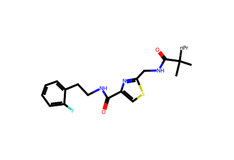 CCCC(C)(C)C(=O)NCc1nc(C(=O)NCCc2ccccc2F)cs1